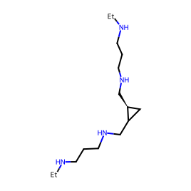 CCNCCCNCC1C[C@@H]1CNCCCNCC